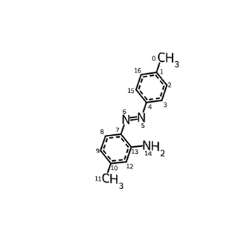 Cc1ccc(/N=N/c2ccc(C)cc2N)cc1